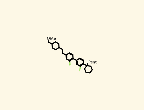 CCCC(C)C1(c2ccc(-c3ccc(CCC4CCC(COC)CC4)cc3F)cc2F)CCCCC1